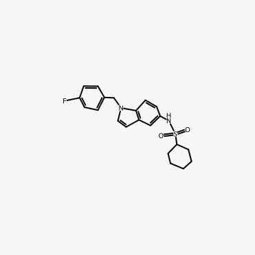 O=S(=O)(Nc1ccc2c(ccn2Cc2ccc(F)cc2)c1)C1CCCCC1